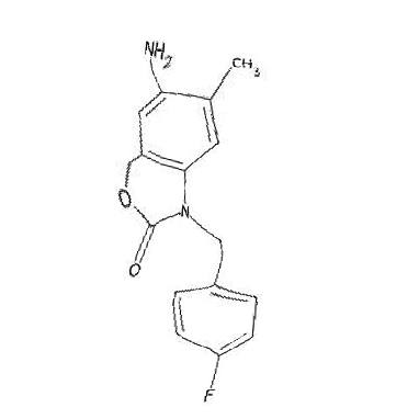 Cc1cc2c(cc1N)oc(=O)n2Cc1ccc(F)cc1